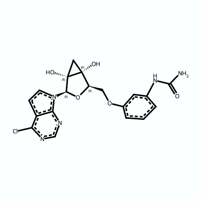 NC(=O)Nc1cccc(OC[C@H]2O[C@@H](n3ccc4c(Cl)ncnc43)[C@@]3(O)C[C@@]23O)c1